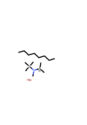 Br.CCCCCCCC.CN([SiH](C)C)[Si](C)(C)C